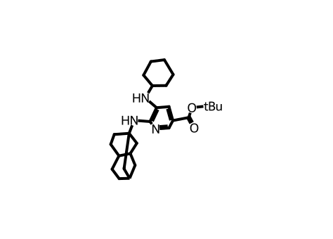 CC(C)(C)OC(=O)c1cnc(NC23CCC4CCC(CC4C2)C3)c(NC2CCCCC2)c1